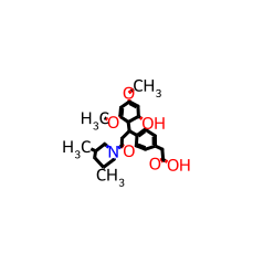 COC1=CC(O)C(C(CC(=O)N2CC(C)CC(C)C2)c2ccc(CC(=O)O)cc2)C(OC)=C1